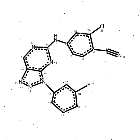 N#Cc1ccc(Nc2ncc3nnn(-c4cccc(F)c4)c3n2)cc1Cl